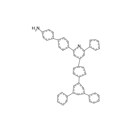 Nc1ccc(-c2ccc(-c3cc(-c4ccc(-c5cc(-c6ccccc6)cc(-c6ccccc6)c5)cc4)cc(-c4ccccc4)n3)cc2)cc1